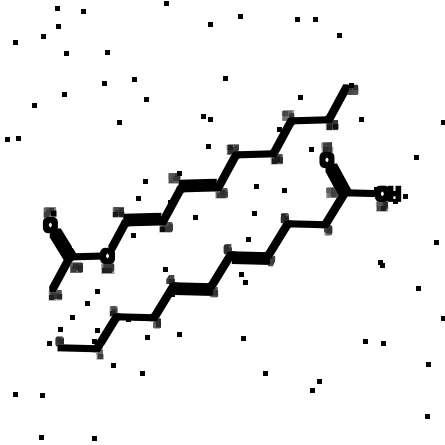 CCCC/C=C/C=C/CCC(=O)O.CCCCCC=CC=COC(C)=O